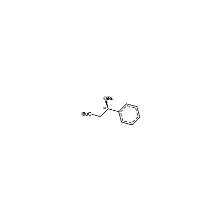 CC(C)COC[C@@H](OCC(C)C)c1ccccc1